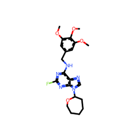 COc1cc(CNc2nc(F)nc3c2ncn3C2CCCCCO2)cc(OC)c1OC